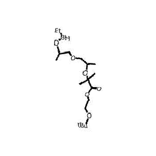 CCBOC(C)COCC(C)OC(C)(C)C(=O)OCCOC(C)(C)C